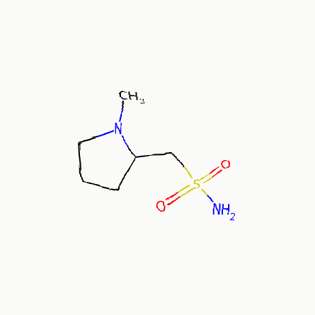 CN1CCCC1CS(N)(=O)=O